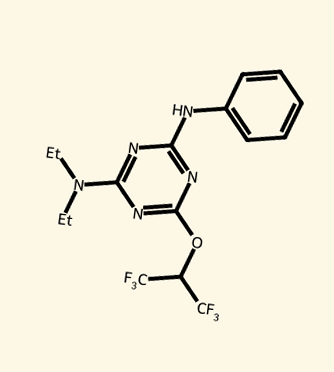 CCN(CC)c1nc(Nc2ccccc2)nc(OC(C(F)(F)F)C(F)(F)F)n1